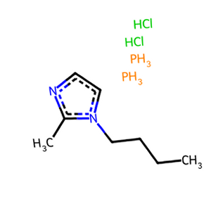 CCCCn1ccnc1C.Cl.Cl.P.P